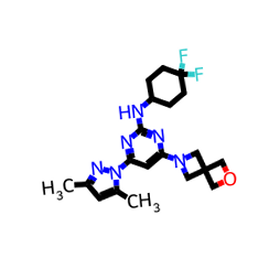 Cc1cc(C)n(-c2cc(N3CC4(COC4)C3)nc(NC3CCC(F)(F)CC3)n2)n1